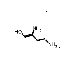 NCCC(N)=CO